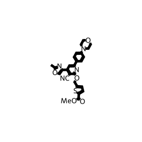 COC(=O)c1ccc(COc2nc(-c3ccc(N4CCOCC4)cc3)cc(-c3coc(C)n3)c2C#N)s1